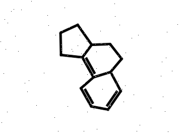 C1=CC2=C3CCCC3CCC2C=C1